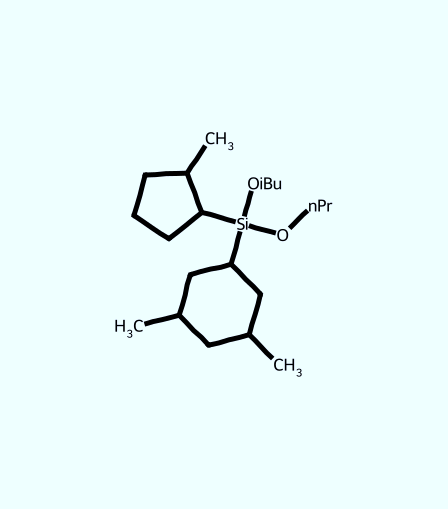 CCCO[Si](OCC(C)C)(C1CC(C)CC(C)C1)C1CCCC1C